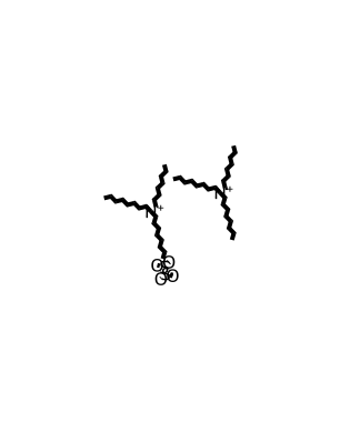 CCCCCCCC[N+](C)(CCCCCCCC)CCCCCCCC.CCCCCCCC[N+](C)(CCCCCCCC)CCCCCCCC.O=S([O-])S(=O)[O-]